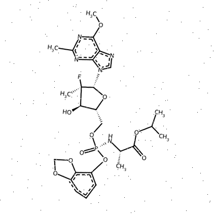 COc1nc(C)nc2c1ncn2[C@@H]1O[C@H](CO[P@@](=O)(N[C@@H](C)C(=O)OC(C)C)Oc2cccc3c2OCO3)[C@@H](O)[C@@]1(C)F